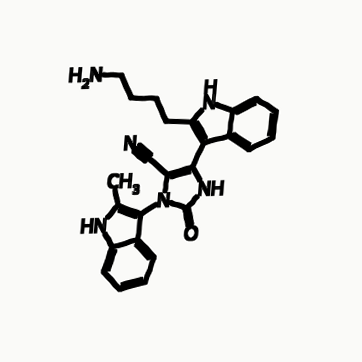 Cc1[nH]c2ccccc2c1-n1c(C#N)c(-c2c(CCCCN)[nH]c3ccccc23)[nH]c1=O